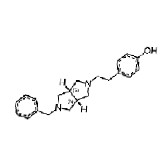 Oc1ccc(CCN2C[C@@H]3CN(Cc4ccccc4)C[C@@H]3C2)cc1